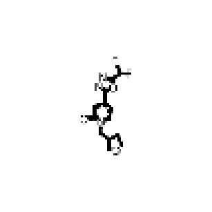 O=c1cc(-c2nnc(C(F)F)o2)ccn1CC1CCOC1